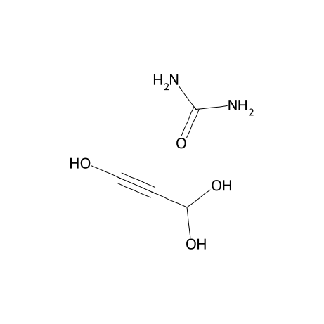 NC(N)=O.OC#CC(O)O